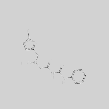 CN(CC(=O)NC(=O)Nc1ccccc1)Cc1ccc(Cl)s1